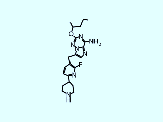 CCCC(C)Oc1nc(N)c2ncc(Cc3ccc(C4CCNCC4)nc3F)n2n1